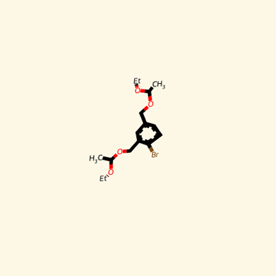 CCOC(C)OCc1ccc(Br)c(COC(C)OCC)c1